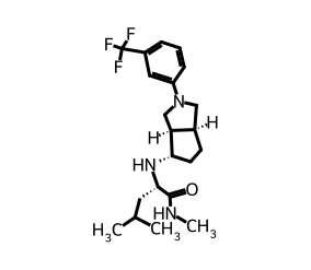 CNC(=O)[C@H](CC(C)C)N[C@H]1CC[C@@H]2CN(c3cccc(C(F)(F)F)c3)C[C@@H]21